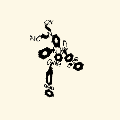 N#CCCN(CCC#N)c1ccc2c(c1)N(c1ccccc1)c1cc(NC(=O)c3ccc(S(=O)(=O)c4ccccc4)cc3)ccc1N2C(=O)c1ccc(S(=O)(=O)c2ccccc2)cc1